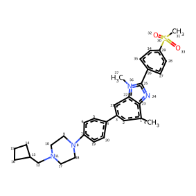 Cc1cc(-c2ccc(N3CCN(CC4CCC4)CC3)cc2)cc2c1nc(-c1ccc(S(C)(=O)=O)cc1)n2C